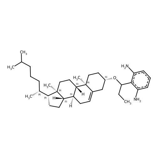 CCC(O[C@H]1CC[C@@]2(C)C(=CC[C@H]3[C@@H]4CC[C@H]([C@H](C)CCCC(C)C)[C@@]4(C)CC[C@@H]32)C1)c1c(N)cccc1N